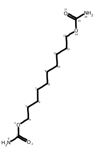 NC(=O)OCCCCCCCCCCOC(N)=O